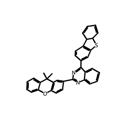 CC1(C)c2ccccc2Oc2ccc(-c3nc(-c4ccc5c(c4)SC4C=CC=CC54)c4ccccc4n3)cc21